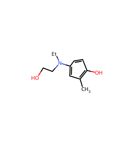 CCN(CCO)c1ccc(O)c(C)c1